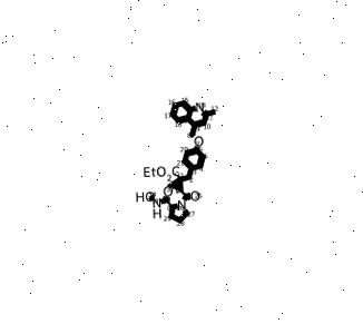 CCOC(=O)[C@@]1(Cc2ccc(OCc3cc(C)nc4ccccc34)cc2)C[C@@H]1C(=O)N1CCC[C@H]1C(=O)NO